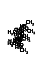 C=CCNC(=O)C(=O)C(CCC)NC(=O)[C@@H]1[C@@H]2[C@H](CN1C(=O)[C@@H](NC(=O)N[C@H](COC(=O)NCC)C(C)(C)C)C(C)(C)C)C2(C)C